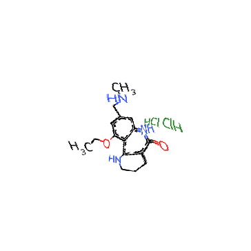 CCOc1cc(CNC)cc2[nH]c(=O)c3c(c12)NCCC3.Cl.Cl